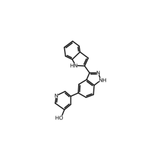 Oc1cncc(-c2ccc3[nH]nc(-c4cc5ccccc5[nH]4)c3c2)c1